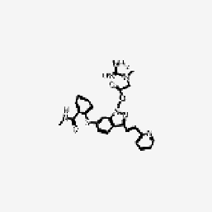 CNC(=O)c1ccccc1Sc1ccc2c(/C=C/c3ccccn3)nn(COC(=O)CN(C)C(=N)N)c2c1